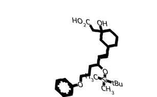 CC(C)(C)[Si](C)(C)OC(/C=C/C1CCCC(O)(CC(=O)O)C1)CCCOc1ccccc1